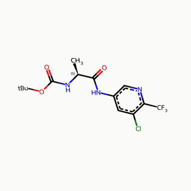 C[C@H](NC(=O)OC(C)(C)C)C(=O)Nc1cnc(C(F)(F)F)c(Cl)c1